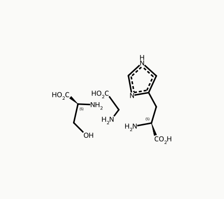 NCC(=O)O.N[C@@H](CO)C(=O)O.N[C@@H](Cc1c[nH]cn1)C(=O)O